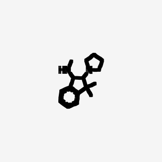 CNC1c2ccccc2C(C)(C)C1N1CCCC1